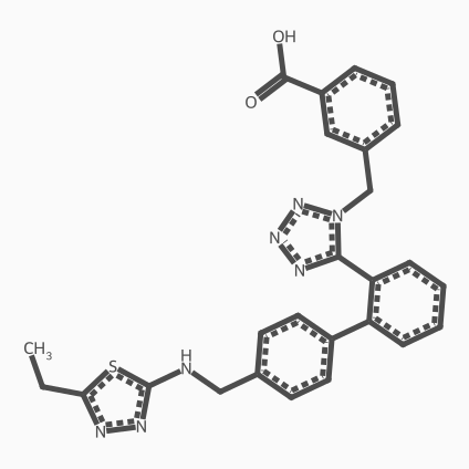 CCc1nnc(NCc2ccc(-c3ccccc3-c3nnnn3Cc3cccc(C(=O)O)c3)cc2)s1